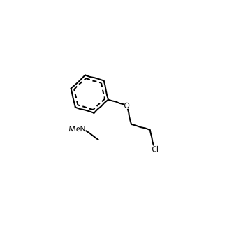 CNC.ClCCOc1ccccc1